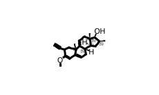 C#CC1C[C@@]2(C)C(=CC[C@@H]3C2=CC[C@]2(C)[C@@H](O)[C@@H](C)C[C@@H]32)C=C1OC